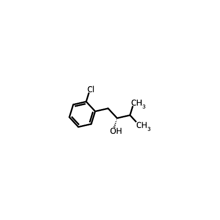 CC(C)[C@H](O)Cc1ccccc1Cl